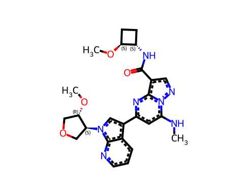 CNc1cc(-c2cn([C@H]3COC[C@@H]3OC)c3ncccc23)nc2c(C(=O)N[C@H]3CC[C@@H]3OC)cnn12